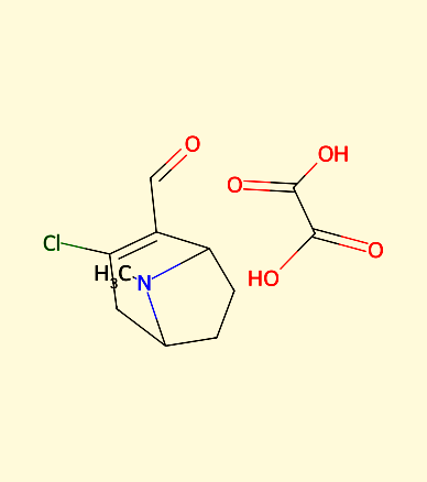 CN1C2CCC1C(C=O)=C(Cl)C2.O=C(O)C(=O)O